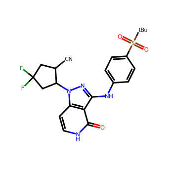 CC(C)(C)S(=O)(=O)c1ccc(Nc2nn(C3CC(F)(F)CC3C#N)c3cc[nH]c(=O)c23)cc1